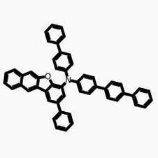 c1ccc(-c2ccc(-c3ccc(N(c4ccc(-c5ccccc5)cc4)c4cc(-c5ccccc5)cc5c4oc4cc6ccccc6cc45)cc3)cc2)cc1